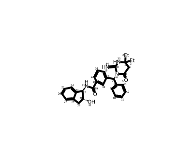 CCC1(CC)CC(=O)N([C@H](c2ccccc2)c2cccc(C(=O)N[C@@H]3c4ccccc4C[C@H]3O)c2)C(=N)N1